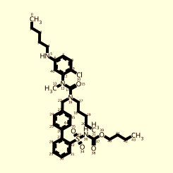 CCCCCNc1ccc(Cl)c(N(C)C(=O)N(CCCCC)Cc2ccc(-c3ccccc3S(=O)(=O)NC(=O)OCCCC)cc2)c1